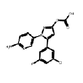 Nc1ccc(-n2nc(OC(=O)O)cc2-c2cc(F)cc(Cl)c2)cn1